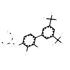 FOB(OF)Oc1ccc(-c2cc(C(F)(F)F)cc(C(F)(F)F)c2)c(F)c1F